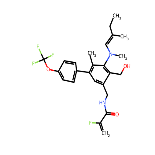 C=C(F)C(=O)NCc1cc(-c2ccc(OC(F)(F)F)cc2)c(C)c(N(C)/C=C(\C)CC)c1CO